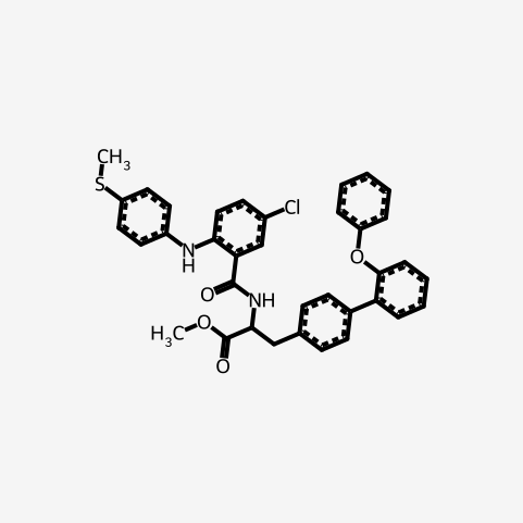 COC(=O)C(Cc1ccc(-c2ccccc2Oc2ccccc2)cc1)NC(=O)c1cc(Cl)ccc1Nc1ccc(SC)cc1